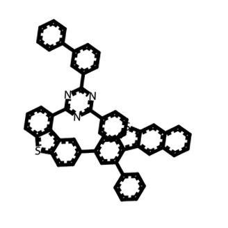 c1ccc(-c2cccc(-c3nc(-c4ccccc4)nc(-c4cccc5sc6ccc(-c7cc(-c8ccccc8)c8c(c7)sc7cc9ccccc9cc78)cc6c45)n3)c2)cc1